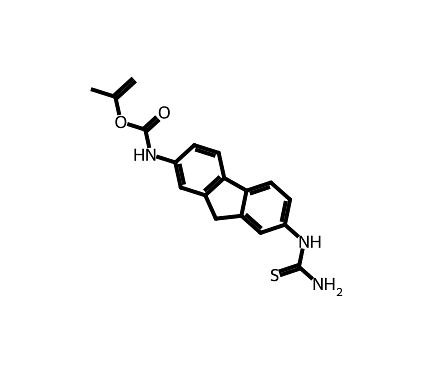 C=C(C)OC(=O)Nc1ccc2c(c1)Cc1cc(NC(N)=S)ccc1-2